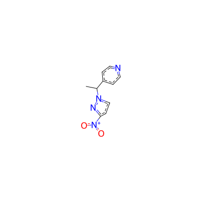 CC(c1ccncc1)n1ccc([N+](=O)[O-])n1